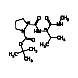 CNC(=O)[C@@H](NC(=O)[C@H]1CCCN1C(=O)OC(C)(C)C)C(C)C